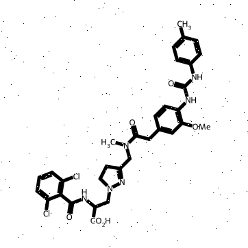 COc1cc(CC(=O)N(C)CC2=NN(CC(NC(=O)c3c(Cl)cccc3Cl)C(=O)O)CC2)ccc1NC(=O)Nc1ccc(C)cc1